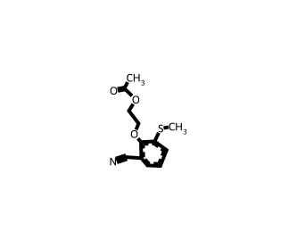 CSc1cccc(C#N)c1OCCOC(C)=O